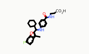 Cc1c(C(Nc2ccc(C(=O)NCCC(=O)O)cc2)C2CCCCC2)oc2cc(F)ccc12